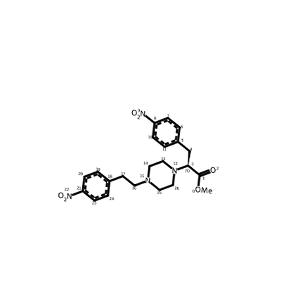 COC(=O)[C@H](Cc1ccc([N+](=O)[O-])cc1)N1CCN(CCc2ccc([N+](=O)[O-])cc2)CC1